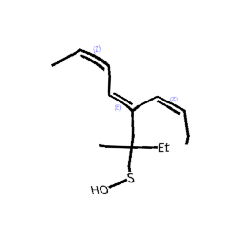 C\C=C/C=C(\C=C/C)C(C)(CC)SO